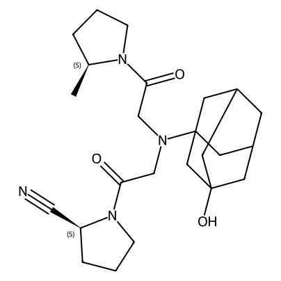 C[C@H]1CCCN1C(=O)CN(CC(=O)N1CCC[C@H]1C#N)C12CC3CC(CC(O)(C3)C1)C2